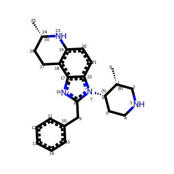 C[C@@H]1CNCC[C@@H]1n1c(Cc2ccccc2)nc2c3c(ccc21)N[C@@H](C)CC3